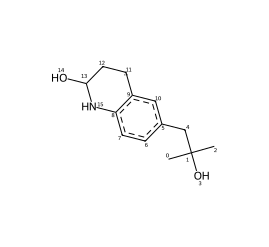 CC(C)(O)Cc1ccc2c(c1)[C]CC(O)N2